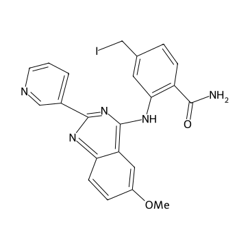 COc1ccc2nc(-c3cccnc3)nc(Nc3cc(CI)ccc3C(N)=O)c2c1